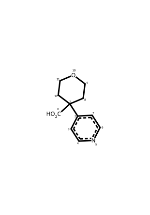 O=C(O)C1(c2ccncc2)CCOCC1